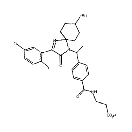 CC(c1ccc(C(=O)NCCC(=O)O)cc1)N1C(=O)C(c2cc(Cl)ccc2F)=NC12CCC(C(C)(C)C)CC2